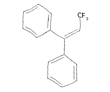 FC(F)(F)C=C(c1ccccc1)c1ccccc1